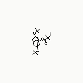 CCC(C)(C)C(=O)OC12CC3CC(OC(C)(C)C)(C1)CC(OC(C)(C)C)(C3)C2